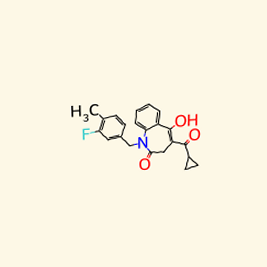 Cc1ccc(CN2C(=O)CC(C(=O)C3CC3)=C(O)c3ccccc32)cc1F